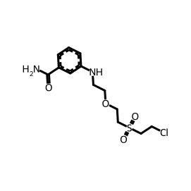 NC(=O)c1cccc(NCCOCCS(=O)(=O)CCCl)c1